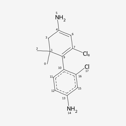 CC1(C)CC(N)=CC(Cl)=C1c1ccc(N)cc1Cl